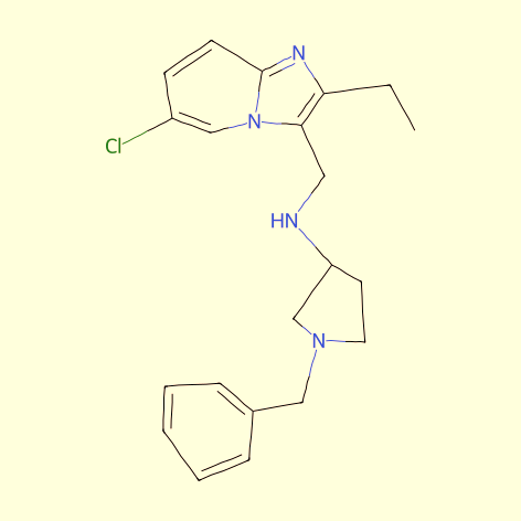 CCc1nc2ccc(Cl)cn2c1CNC1CCN(Cc2ccccc2)C1